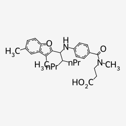 CCCC(CCC)C(Nc1ccc(C(=O)N(C)CCC(=O)O)cc1)c1oc2ccc(C)cc2c1C